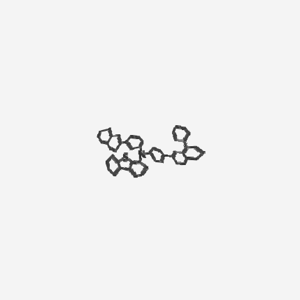 c1ccc(-c2cccc3ccc(-c4ccc(N(c5cccc(-c6ccc7ccccc7c6)c5)c5cccc6c5sc5ccccc56)cc4)cc23)cc1